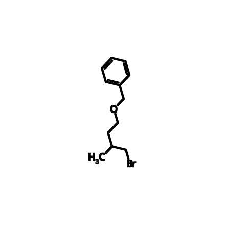 CC(CBr)CCOCc1ccccc1